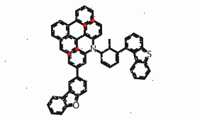 CC1C(c2cccc3sc4ccccc4c23)=CC=CC1N(c1cccc(-c2ccc3oc4ccccc4c3c2)c1)c1ccccc1-c1cccc2cccc(-c3ccccc3)c12